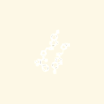 Clc1ccc2nc(NC[C@@H]3CCNC3)cnc2c1.O=C(c1cnoc1-c1ccccc1)N1CC[C@@H](CNc2cnc3cc(Cl)ccc3n2)C1